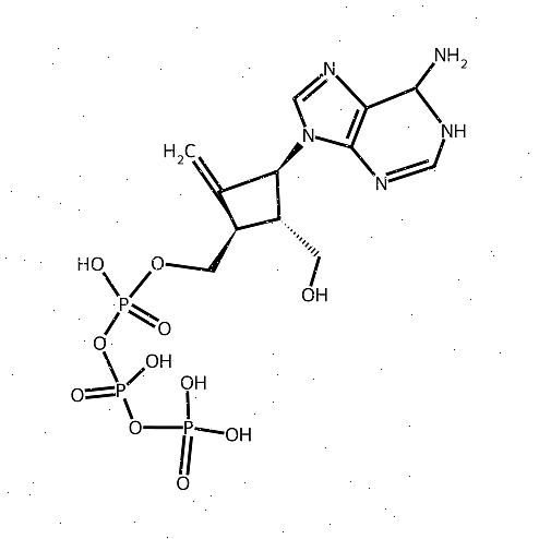 C=C1[C@@H](n2cnc3c2N=CNC3N)[C@H](CO)[C@H]1COP(=O)(O)OP(=O)(O)OP(=O)(O)O